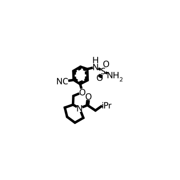 CC(C)CC(=O)N1CCCCC1COc1cc(NS(N)(=O)=O)ccc1C#N